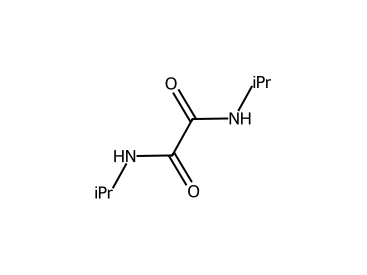 CC(C)NC(=O)C(=O)NC(C)C